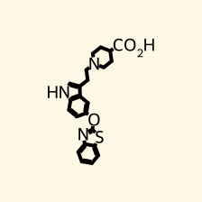 O=C(O)C1CCN(CCc2c[nH]c3ccc(Oc4nc5ccccc5s4)cc23)CC1